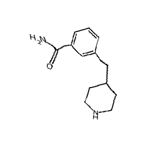 NC(=O)c1cccc(CC2CCNCC2)c1